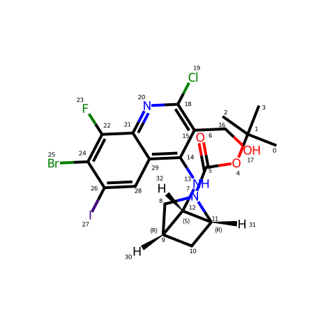 CC(C)(C)OC(=O)N1C[C@H]2C[C@@H]1[C@H]2Nc1c(CO)c(Cl)nc2c(F)c(Br)c(I)cc12